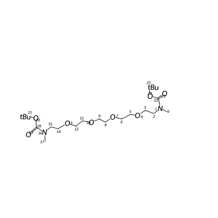 CN(CCOCCOCCOCCOCCN(C)C(=O)OC(C)(C)C)C(=O)OC(C)(C)C